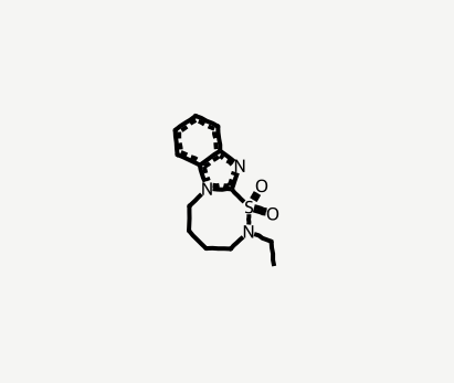 CCN1CCCCn2c(nc3ccccc32)S1(=O)=O